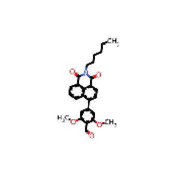 CCCCCCN1C(=O)c2cccc3c(-c4cc(OC)c(C=O)c(OC)c4)ccc(c23)C1=O